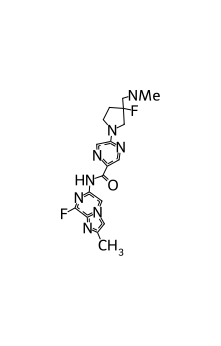 CNCC1(F)CCN(c2cnc(C(=O)Nc3cn4cc(C)nc4c(F)n3)cn2)C1